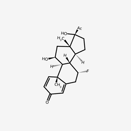 CC(=O)[C@@]1(O)CC[C@H]2[C@H]3[C@H]([C@@H](O)C[C@@]21C)[C@@]1(C)C=CC(=O)C=C1C[C@H]3F